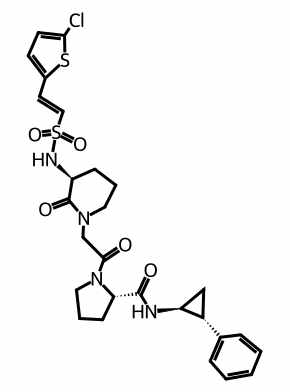 O=C(N[C@H]1C[C@@H]1c1ccccc1)[C@@H]1CCCN1C(=O)CN1CCC[C@H](NS(=O)(=O)/C=C/c2ccc(Cl)s2)C1=O